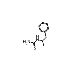 CC(Cc1ccccc1)NC(N)=S